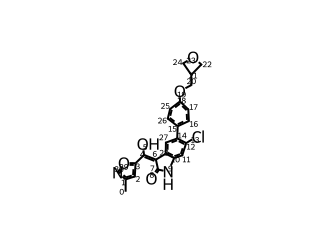 Cc1cc(/C(O)=C2\C(=O)Nc3cc(Cl)c(-c4ccc(OCC5COC5)cc4)cc32)on1